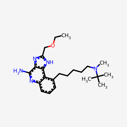 CCOCc1nc2c(N)nc3cccc(CCCCCN(C)C(C)(C)C)c3c2[nH]1